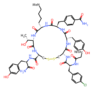 CNCCCC[C@@H]1NC(=O)[C@@H](Cc2ccc(C(N)=O)cc2)NC(=O)[C@H](Cc2ccc(O)cc2)NC(=O)[C@H](NC(=O)[C@H](Cc2ccc(Cl)cc2)NC(=O)CNC(C)=O)CSSC[C@@H](C(=O)N[C@H](Cc2ccc(O)cc2)C(N)=O)NC(=O)[C@H]([C@@H](C)O)NC1=O